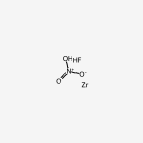 F.O=[N+]([O-])O.[Zr]